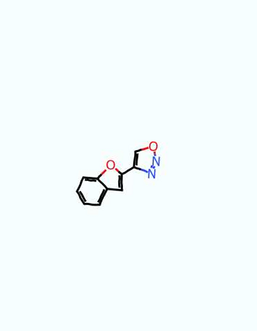 c1ccc2oc(-c3conn3)cc2c1